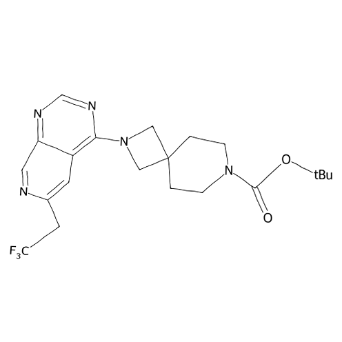 CC(C)(C)OC(=O)N1CCC2(CC1)CN(c1ncnc3cnc(CC(F)(F)F)cc13)C2